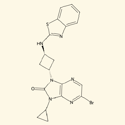 O=c1n(C2CC2)c2nc(Br)cnc2n1[C@H]1C[C@H](Nc2nc3ccccc3s2)C1